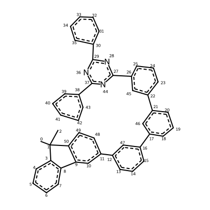 CC1(C)c2ccccc2-c2cc(-c3cccc(-c4cccc(-c5cccc(-c6nc(-c7ccccc7)nc(-c7ccccc7)n6)c5)c4)c3)ccc21